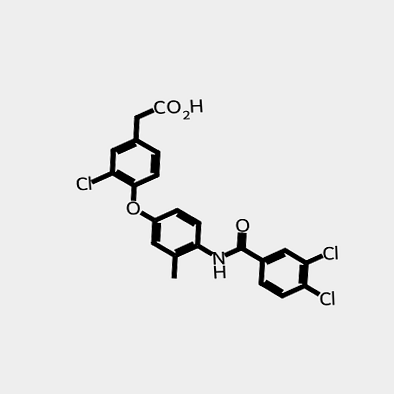 Cc1cc(Oc2ccc(CC(=O)O)cc2Cl)ccc1NC(=O)c1ccc(Cl)c(Cl)c1